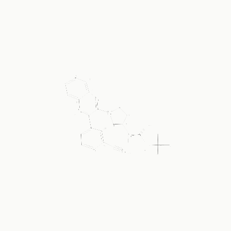 CC(C)(C)OC(=O)NC1CCN(c2nc3ccccc3nc2-c2cccc(C#N)c2)C1